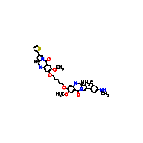 CNC1=CC=C(C2=CN3C(=O)c4cc(OC)c(OCCCCCOc5cc6c(cc5OC)C(=O)N5C=C(c7cccs7)C[C@H]5C=N6)cc4N=C[C@@H]3C2)C(C)C1